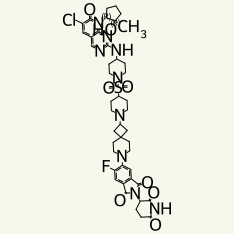 C[C@@]1(O)CCC[C@H]1n1c(=O)c(Cl)cc2cnc(NC3CCN(S(=O)(=O)C4CCN(C5CC6(CCN(c7cc8c(cc7F)C(=O)N(C7CCC(=O)NC7=O)C8=O)CC6)C5)CC4)CC3)nc21